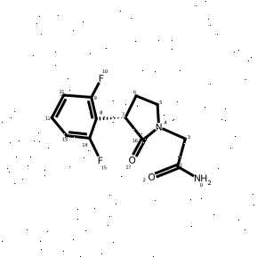 NC(=O)CN1CC[C@@H](c2c(F)[c]ccc2F)C1=O